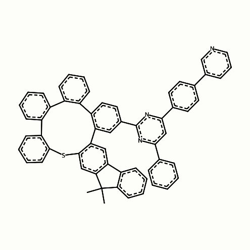 CC1(C)c2ccccc2-c2cc3c(cc21)Sc1ccccc1-c1ccccc1-c1ccccc1-c1ccc(-c2nc(-c4ccccc4)cc(-c4ccc(-c5cccnc5)cc4)n2)cc1-3